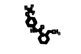 CCC1CCCCN1C(=O)Nc1ccc(OC(F)(F)F)cc1